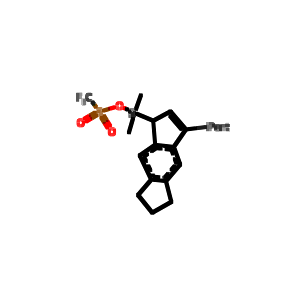 CCCC(C)C1=CC([Si](C)(C)OS(=O)(=O)C(F)(F)F)c2cc3c(cc21)CCC3